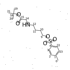 Cc1ccc(S(=O)(=O)OCCCCNCC(=O)OC(C)(C)C)cc1